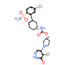 NS(=O)(=O)c1ccc(Cl)cc1C1CCC[C@@H](NC(=O)O[C@@H]2CCN(c3cn[nH]c(=O)c3Cl)C2)C1